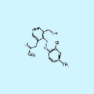 COC(=O)Cc1cccc(CO)c1COc1ccc(C)cc1Cl